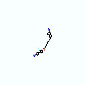 N#Cc1ccc(-c2ccc(OCCCCCCCCCCc3ccc4cc(C#N)ccc4c3)cc2F)cc1